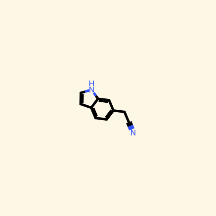 N#CCc1ccc2cc[nH]c2c1